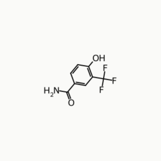 NC(=O)c1ccc(O)c(C(F)(F)F)c1